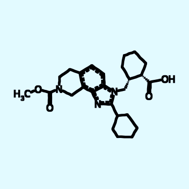 COC(=O)N1CCc2ccc3c(nc(C4CCCCC4)n3C[C@@H]3CCCC[C@@H]3C(=O)O)c2C1